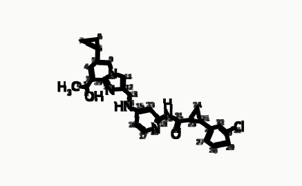 CC(O)c1cc(C2CC2)cn2cc(CNc3ccnc(NC(=O)C4CC4c4cccc(Cl)c4)c3)nc12